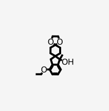 CCOc1cccc2c1CC1(CCC3(CC1)OCCO3)C2(C)O